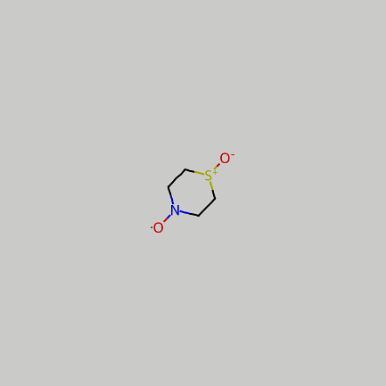 [O]N1CC[S+]([O-])CC1